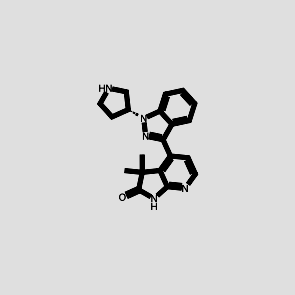 CC1(C)C(=O)Nc2nccc(-c3nn([C@@H]4CCNC4)c4ccccc34)c21